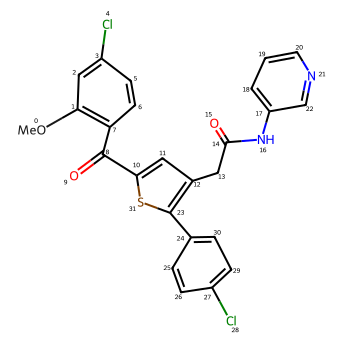 COc1cc(Cl)ccc1C(=O)c1cc(CC(=O)Nc2cccnc2)c(-c2ccc(Cl)cc2)s1